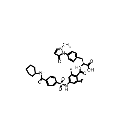 Cn1ccc(=O)n1-c1ccc(C[C@H](NC(=O)c2c(F)cc(NS(=O)(=O)c3ccc(C(=O)NC4CCCCC4)cc3)cc2F)C(=O)O)cc1